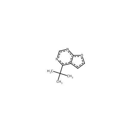 CC(C)(C)c1ncnc2occc12